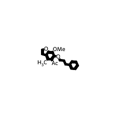 COc1c(OCCCc2ccccc2)c(C(C)=O)c(C)c2ccoc12